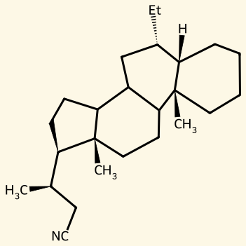 CC[C@H]1CC2C3CC[C@H]([C@H](C)CC#N)[C@@]3(C)CCC2[C@@]2(C)CCCC[C@@H]12